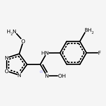 Bc1cc(N/C(=N\O)c2nonc2ON)ccc1F